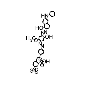 COc1cc(N=Nc2ccc3cc(Nc4ccccc4)ccc3c2O)c(O)cc1N=Nc1ccc(C=Cc2ccc([N+](=O)[O-])cc2S(=O)(=O)O)cc1